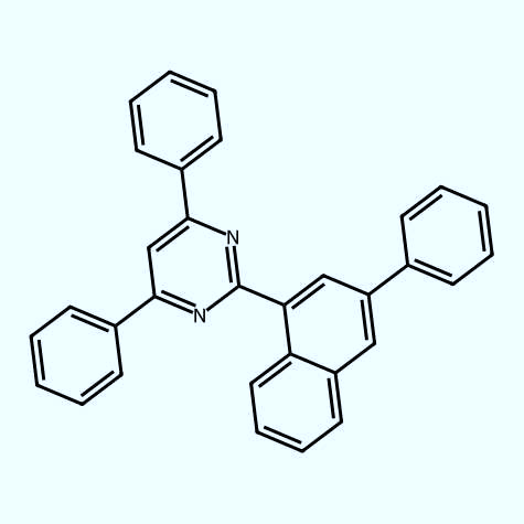 c1ccc(-c2cc(-c3nc(-c4ccccc4)cc(-c4ccccc4)n3)c3ccccc3c2)cc1